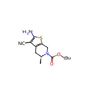 C[C@H]1Cc2c(sc(N)c2C#N)CN1C(=O)OC(C)(C)C